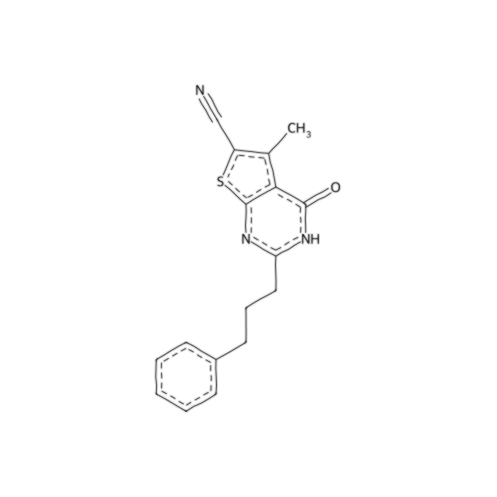 Cc1c(C#N)sc2nc(CCCc3ccccc3)[nH]c(=O)c12